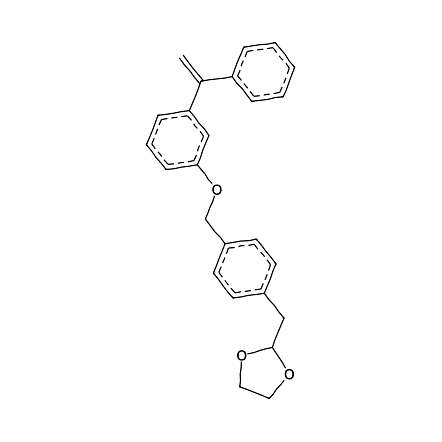 C=C(c1ccccc1)c1cccc(OCc2ccc(CC3OCCO3)cc2)c1